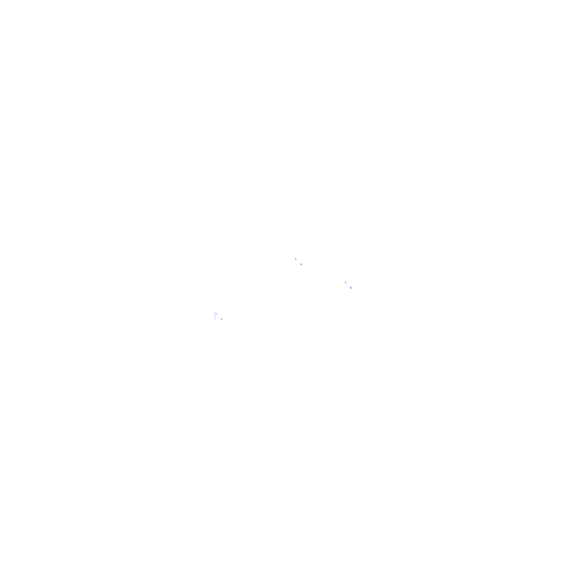 C=CCNC(=O)c1ccc2c(c1)N(C(C)CN1CCCC1)c1ccccc1S2